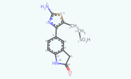 CS(=O)(=O)O.Cc1sc(N)nc1-c1ccc2c(c1)CC(=O)N2